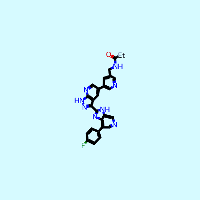 CCC(=O)NCc1cncc(-c2cnc3[nH]nc(-c4nc5c(-c6ccc(F)cc6)cncc5[nH]4)c3c2)c1